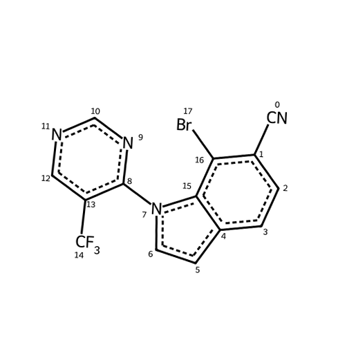 N#Cc1ccc2ccn(-c3ncncc3C(F)(F)F)c2c1Br